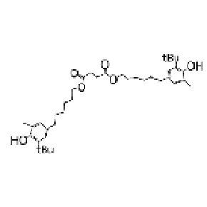 Cc1cc(CCCCCCOC(=O)CCC(=O)OCCCCCCc2cc(C)c(O)c(C(C)(C)C)c2)cc(C(C)(C)C)c1O